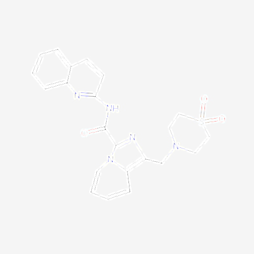 O=C(Nc1ccc2ccccc2n1)c1nc(CN2CCS(=O)(=O)CC2)c2ccccn12